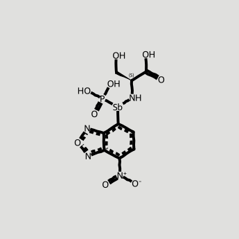 O=C(O)[C@H](CO)[NH][Sb]([c]1ccc([N+](=O)[O-])c2nonc12)[P](=O)(O)O